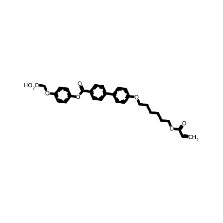 C=CC(=O)OCCCCCCOc1ccc(-c2ccc(C(=O)Oc3ccc(OCC(=O)O)cc3)cc2)cc1